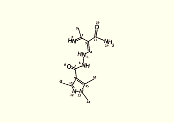 CC(=N)/C(=C\NNC(=O)c1c(C)nn(C)c1C)C(N)=O